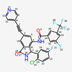 O=C(Nc1cc(C#Cc2ccncc2)cc2c1C(c1cc(F)ccc1Cl)NC2=O)c1cc(F)cc(C(F)(F)F)c1